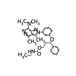 CCNC(=O)OCCC(Oc1cccc(-n2nc3c(N(C)C)nnc(C)c3c2C)c1)c1ccccc1